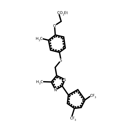 CCOC(=O)COc1ccc(SCc2sc(-c3cc(C(F)(F)F)cc(C(F)(F)F)c3)nc2C)cc1C